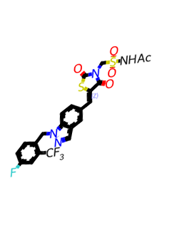 CC(=O)NS(=O)(=O)CN1C(=O)S/C(=C\c2ccc3c(cnn3Cc3ccc(F)cc3C(F)(F)F)c2)C1=O